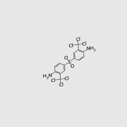 Nc1ccc(S(=O)(=O)c2ccc(N)c(C(Cl)(Cl)Cl)c2)cc1C(Cl)(Cl)Cl